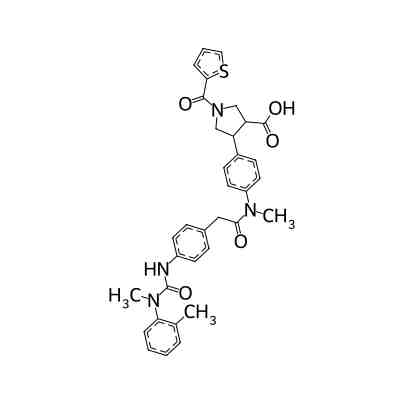 Cc1ccccc1N(C)C(=O)Nc1ccc(CC(=O)N(C)c2ccc(C3CN(C(=O)c4cccs4)CC3C(=O)O)cc2)cc1